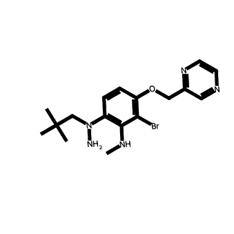 CNc1c(N(N)CC(C)(C)C)ccc(OCc2cnccn2)c1Br